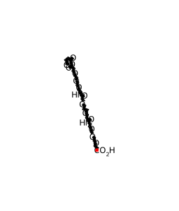 O=C(O)CCOCCOCCOCCNC(=O)CCOCCCOCCC(=O)NCCOCCOCCOCCC(=O)ON1C(=O)CCC1=O